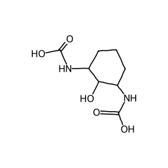 O=C(O)NC1CCCC(NC(=O)O)C1O